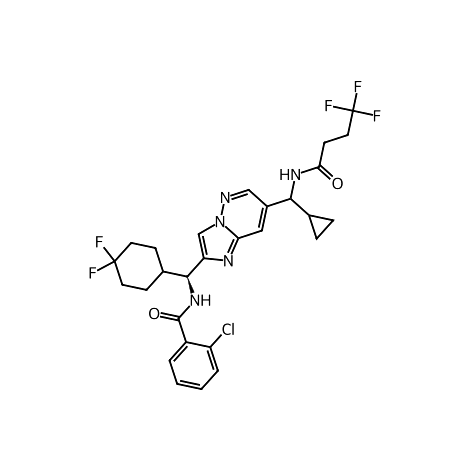 O=C(CCC(F)(F)F)NC(c1cnn2cc([C@@H](NC(=O)c3ccccc3Cl)C3CCC(F)(F)CC3)nc2c1)C1CC1